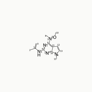 C=C(C)Nc1nc(N(C)OC)c2ccn(C)c2n1